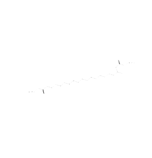 CCCCCCOC(=O)CCCCCCCCCCCCCCCCC(CC)CC(=O)OCCCCCC